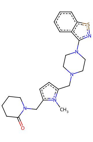 Cn1c(CN2CCN(c3nsc4ccccc34)CC2)ccc1CN1CCCCC1=O